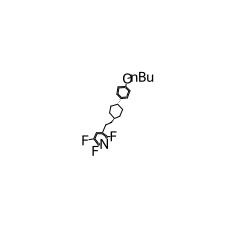 CCCCOc1ccc([C@H]2CC[C@H](CCc3cc(F)c(F)nc3F)CC2)cc1